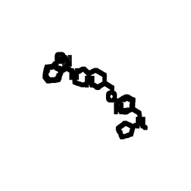 CN(Cc1ccc(OCC2CCC3CN(c4noc5ccccc45)CCN3C2)nc1)C1CCCC1